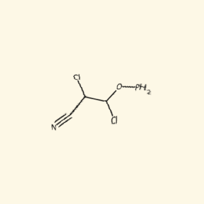 N#CC(Cl)C(Cl)OP